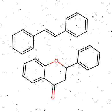 C(=Cc1ccccc1)c1ccccc1.O=C1CC(c2ccccc2)Oc2ccccc21